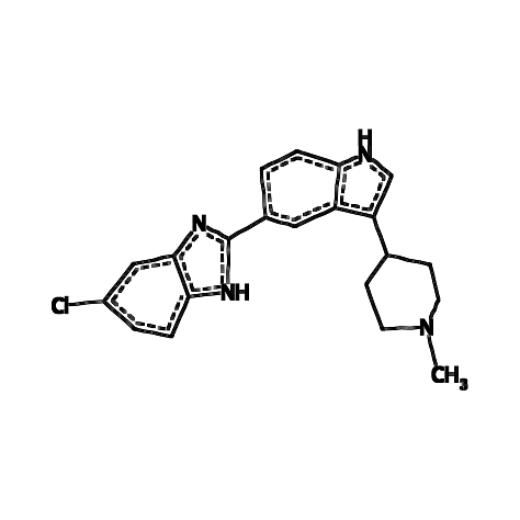 CN1CCC(c2c[nH]c3ccc(-c4nc5cc(Cl)ccc5[nH]4)cc23)CC1